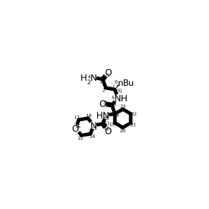 CCCC[C@@H](CC(N)=O)NC(=O)C1(NC(=O)N2CCOCC2)CCCCC1